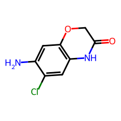 Nc1cc2c(cc1Cl)NC(=O)CO2